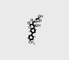 Cc1ccc(-c2ccc3c(O)c(C(=O)NCC(=O)O)c(=O)oc3c2)cc1